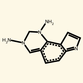 NN1C=c2ccc3c(c2N(N)C1)C=CN=3